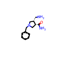 NC[C@H]1CN(Cc2ccccc2)C[C@H]1C(N)=O